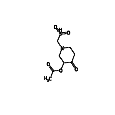 CC(=O)OC1CN(C[SH](=O)=O)CCC1=O